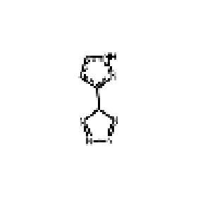 c1cc(C2N=NN=N2)n[nH]1